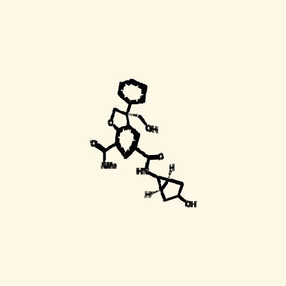 CNC(=O)c1cc(C(=O)NC2[C@H]3CC(O)C[C@@H]23)cc2c1OC[C@@]2(CO)c1ccccc1